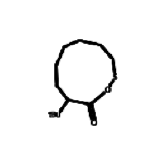 CC(C)(C)[C]1CCCCCCSOC1=O